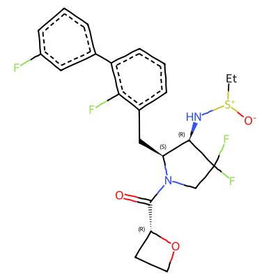 CC[S+]([O-])N[C@@H]1[C@H](Cc2cccc(-c3cccc(F)c3)c2F)N(C(=O)[C@H]2CCO2)CC1(F)F